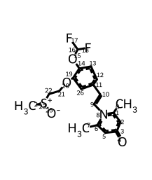 Cc1cc(=O)cc(C)n1/C=C/c1ccc(OC(F)F)c(OCC[S+](C)[O-])c1